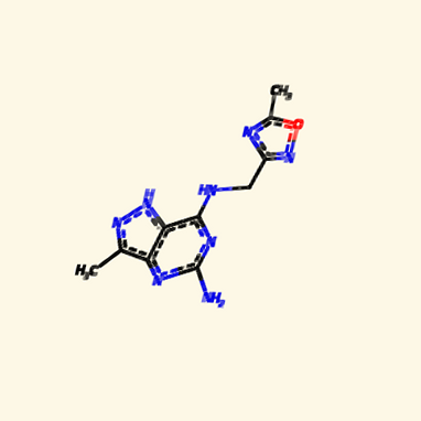 Cc1nc(CNc2nc(N)nc3c(C)n[nH]c23)no1